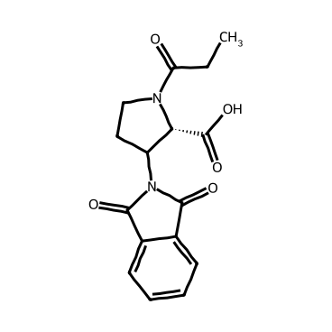 CCC(=O)N1CCC(N2C(=O)c3ccccc3C2=O)[C@H]1C(=O)O